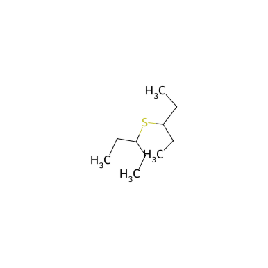 CCC(CC)SC(CC)CC